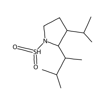 CC(C)C(C)C1C(C(C)C)CCN1[SH](=O)=O